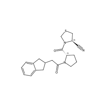 N#C[C@@H]1CSCN1C(=O)[C@@H]1CCCN1C(=O)CC1Cc2ccccc2C1